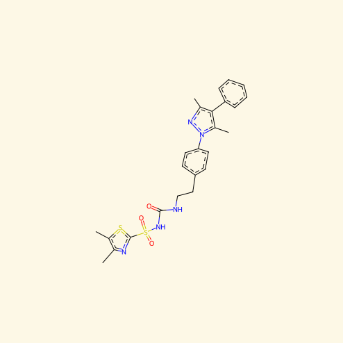 Cc1nc(S(=O)(=O)NC(=O)NCCc2ccc(-n3nc(C)c(-c4ccccc4)c3C)cc2)sc1C